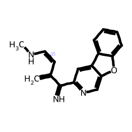 C=C(/C=C\NC)C(=N)c1cc2c(cn1)oc1ccccc12